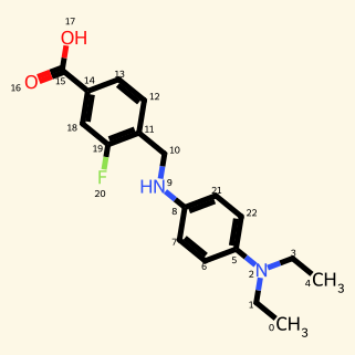 CCN(CC)c1ccc(NCc2ccc(C(=O)O)cc2F)cc1